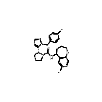 O=C(NC1CCCOc2ccc(Cl)cc21)N1CCC[C@@H]1c1ncnn1Cc1ccc(Cl)cc1